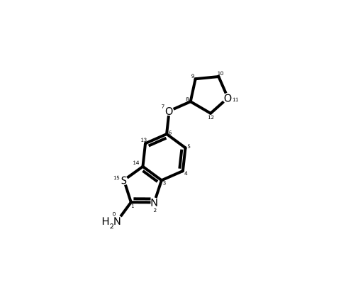 Nc1nc2ccc(OC3CCOC3)cc2s1